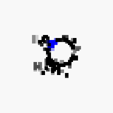 C/[N+]1=C/CC(C)(C)CCCCCCC1